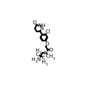 CN(CC(C)(C)N)C(=O)COc1ccc(C2=NNC(=O)CC2)c(Cl)c1